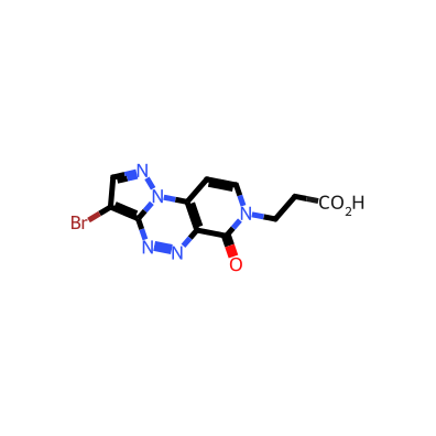 O=C(O)CCn1ccc2c(nnc3c(Br)cnn32)c1=O